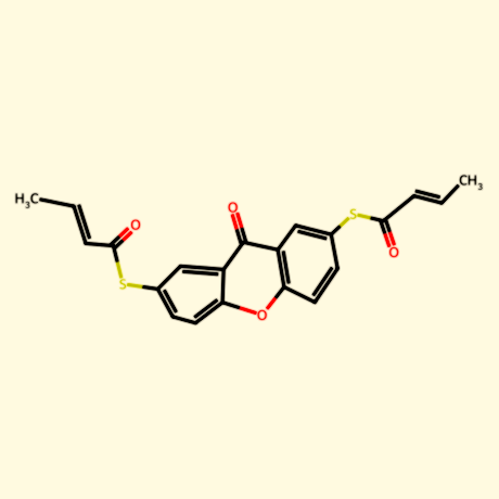 CC=CC(=O)Sc1ccc2oc3ccc(SC(=O)C=CC)cc3c(=O)c2c1